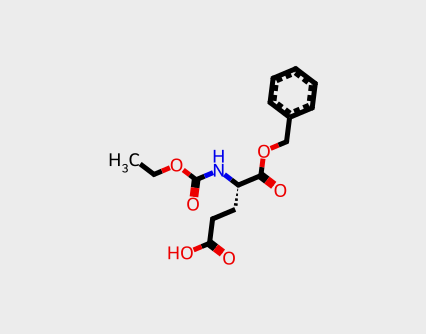 CCOC(=O)N[C@@H](CCC(=O)O)C(=O)OCc1ccccc1